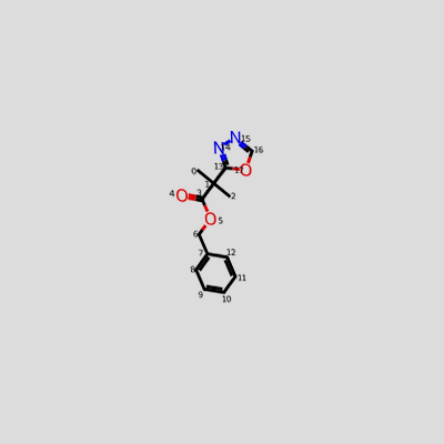 CC(C)(C(=O)OCc1ccccc1)c1nnco1